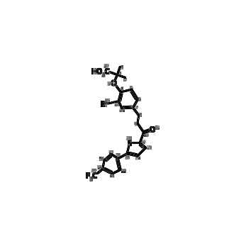 CC(C)(Oc1ccc(CCC(=O)c2ccc(-c3ccc(C(F)(F)F)cc3)s2)cc1Br)C(=O)O